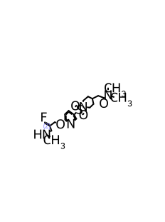 CNC/C(=C/F)COc1ccc(S(=O)(=O)N2CCC(CC(=O)N(C)C)CC2)cn1